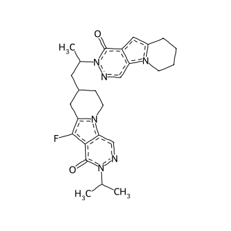 CC(C)n1ncc2c(c(F)c3n2CCC(CC(C)n2ncc4c(cc5n4CCCC5)c2=O)C3)c1=O